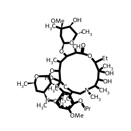 CCC1OC(=O)C(C)C(O[C@H]2C[C@@](C)(OC)[C@@H](O)[C@H](C)O2)C(C)C(O[C@@H]2O[C@H](C)C[C@H](N(C)C)[C@H]2Oc2ccc(OC)c(OC(C)C)c2)C(C)(O)CC(C)CN(C)C(C)C(O)C1(C)O